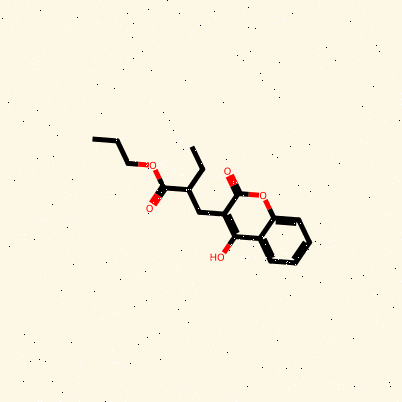 CCCOC(=O)C(CC)Cc1c(O)c2ccccc2oc1=O